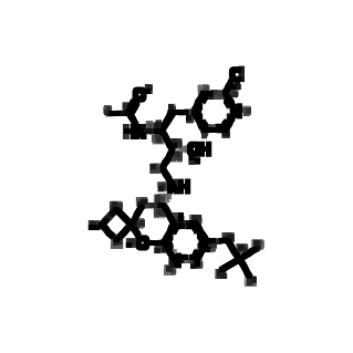 CC(=O)N[C@@H](Cc1ccnc(Cl)c1)[C@H](O)CN[C@H]1CC2(CCC2)Oc2ncc(CC(C)(C)C)cc21